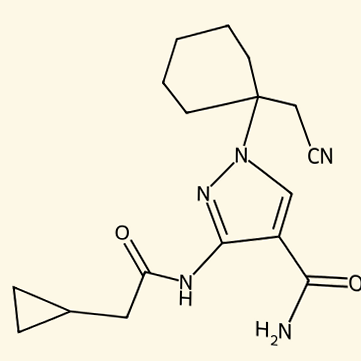 N#CCC1(n2cc(C(N)=O)c(NC(=O)CC3CC3)n2)CCCCC1